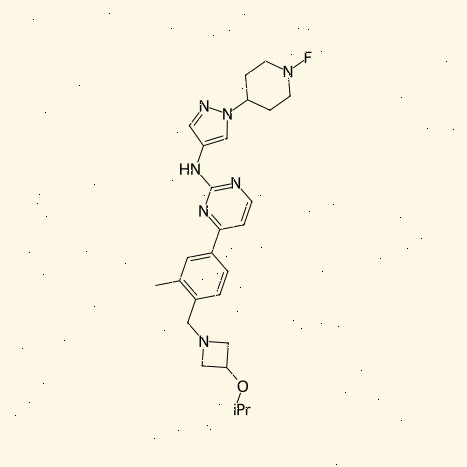 Cc1cc(-c2ccnc(Nc3cnn(C4CCN(F)CC4)c3)n2)ccc1CN1CC(OC(C)C)C1